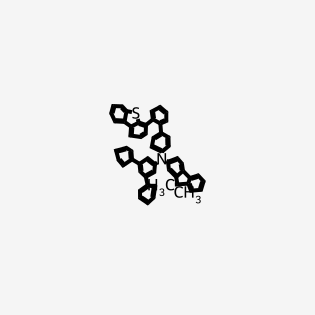 CC1(C)c2ccccc2-c2ccc(N(c3ccc(-c4ccccc4-c4cccc5c4sc4ccccc45)cc3)c3cc(-c4ccccc4)cc(-c4ccccc4)c3)cc21